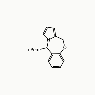 CCCCCC1c2ccccc2OCc2cccn21